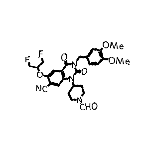 COc1ccc(Cn2c(=O)c3cc(OC(CF)CF)c(C#N)cc3n(C3CCN(C=O)CC3)c2=O)cc1OC